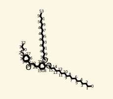 CCCCCCCCCCCCCCCCOc1ccc(C=CC(=O)c2ccc(SCCC)cc2)cc1OCCCCCCCCCCCCCCCC